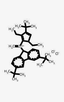 [CH2]=[Zr+2]([C]1=C(CC)C(C(C)(C)C)=CC1CC)[CH]1c2ccc(C(C)(C)C)cc2-c2cc(C(C)(C)C)ccc21.[Cl-].[Cl-]